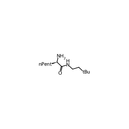 CCCCC[C@@H](N)C(=O)NCCC(C)(C)C